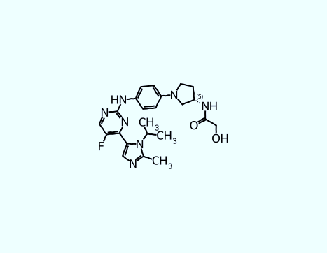 Cc1ncc(-c2nc(Nc3ccc(N4CC[C@H](NC(=O)CO)C4)cc3)ncc2F)n1C(C)C